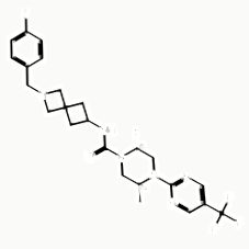 C[C@@H]1CN(c2ncc(C(F)(F)F)cn2)[C@@H](C)CN1C(=O)NC1CC2(C1)CN(Cc1ccc(F)cc1)C2